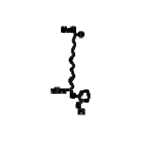 CCCCCCC(CC=CCCCCCCCC(=O)OC)Oc1ccccc1OCC